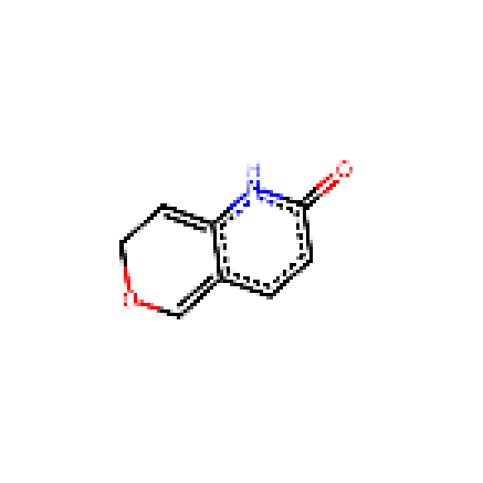 O=c1ccc2c([nH]1)=CCOC=2